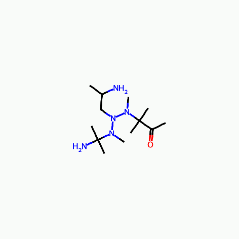 CC(=O)C(C)(C)N(C)N(CC(C)N)N(C)C(C)(C)N